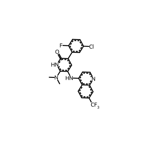 CN(C)c1[nH]c(=O)c(-c2cc(Cl)ccc2F)cc1Nc1ccnc2cc(C(F)(F)F)ccc12